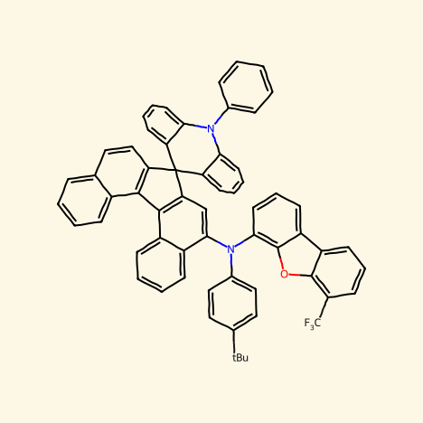 CC(C)(C)c1ccc(N(c2cc3c(c4ccccc24)-c2c(ccc4ccccc24)C32c3ccccc3N(c3ccccc3)c3ccccc32)c2cccc3c2oc2c(C(F)(F)F)cccc23)cc1